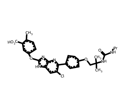 Cc1ccc(Oc2nc3nc(-c4ccc(OCC(C)(C)NC(=O)NC(C)C)cc4)c(Cl)cc3[nH]2)cc1C(=O)O